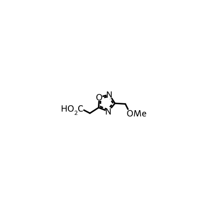 COCc1noc(CC(=O)O)n1